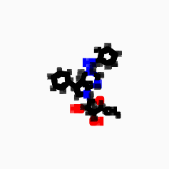 C[C@H]1O[C@@H](n2cc(-c3ccccc3)c3c2N=CN(Nc2ccccc2)C3)[C@H](O)[C@@H]1O